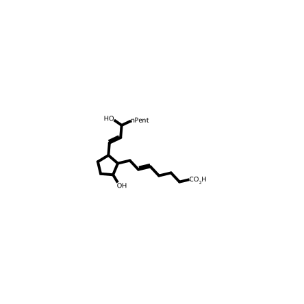 CCCCCC(O)/C=C/C1CCC(O)C1C/C=C/CCCC(=O)O